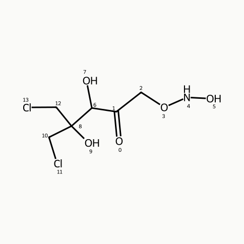 O=C(CONO)C(O)C(O)(CCl)CCl